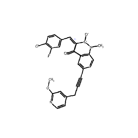 COc1cc(CC#Cc2ccc3c(c2)C(=O)/C(=C\c2ccc(Cl)c(F)c2)[S+]([O-])N3C)ccn1